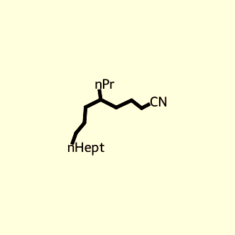 CCCCCCCCCCC(CCC)CCCC#N